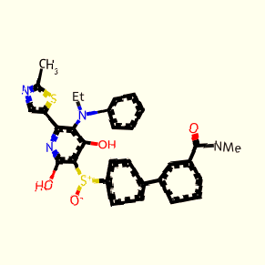 CCN(c1ccccc1)c1c(-c2cnc(C)s2)nc(O)c([S+]([O-])c2ccc(-c3cccc(C(=O)NC)c3)cc2)c1O